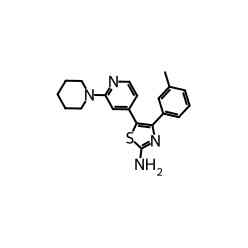 Cc1cccc(-c2nc(N)sc2-c2ccnc(N3CCCCC3)c2)c1